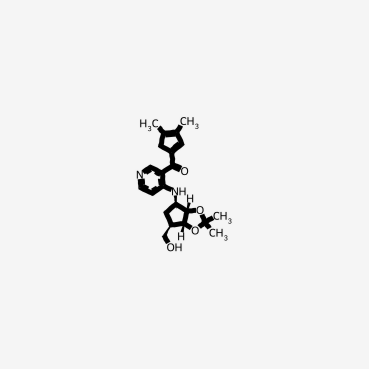 CC1=C(C)CC(C(=O)c2cnccc2N[C@@H]2C[C@H](CO)[C@H]3OC(C)(C)O[C@H]32)=C1